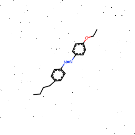 CCCCc1ccc(/N=N/c2ccc(OCC)cc2)cc1